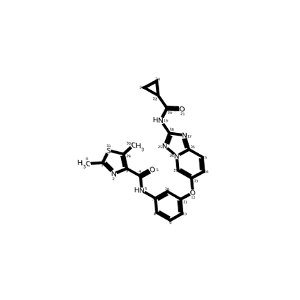 Cc1nc(C(=O)Nc2cccc(Oc3ccc4nc(NC(=O)C5CC5)nn4c3)c2)c(C)s1